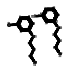 Clc1cccc(OCCCBr)c1.Fc1cccc(OCCCBr)c1